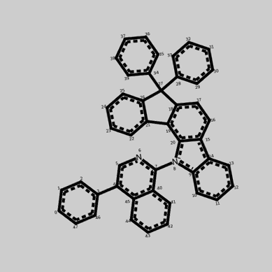 c1ccc(-c2cnc(-n3c4ccccc4c4ccc5c(c43)-c3ccccc3C5(c3ccccc3)c3ccccc3)c3ccccc23)cc1